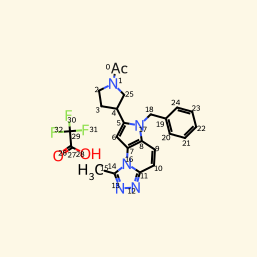 CC(=O)N1CCC(c2cc3c(ccc4nnc(C)n43)n2Cc2ccccc2)C1.O=C(O)C(F)(F)F